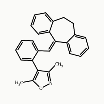 Cc1noc(C)c1-c1ccccc1C=C1c2ccccc2CCc2ccccc21